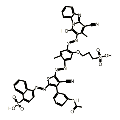 CC(=O)Nc1cccc(-c2c(N=Nc3ccc(S(=O)(=O)O)c4ccccc34)sc(N=Nc3cc(OCCCS(=O)(=O)O)c(N=Nc4c(C)c(C#N)c5nc6ccccc6n5c4O)cc3C)c2C#N)c1